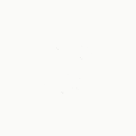 C=C(O/C(C)=N\C(C)CC)c1c(C)cccc1C(=O)N(CC)[C@@H](C)COc1ccc(Cl)cn1